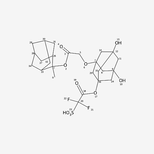 CC1(OC(=O)COC23CC4(O)CC(O)(C2)CC(OC(=O)C(F)(F)S(=O)(=O)O)(C4)C3)C2CC3CC(C2)CC1C3